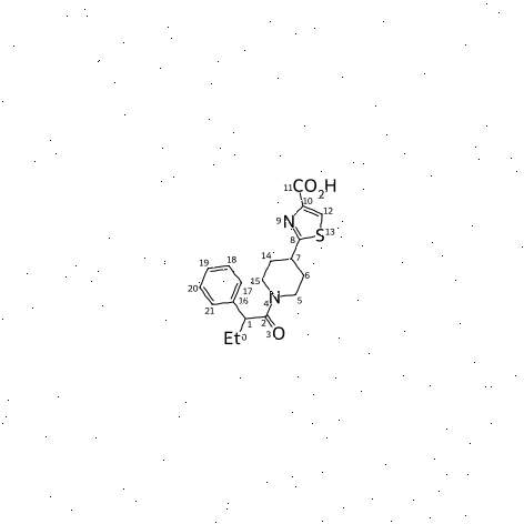 CCC(C(=O)N1CCC(c2nc(C(=O)O)cs2)CC1)c1ccccc1